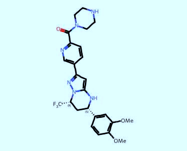 COc1ccc([C@@H]2C[C@H](C(F)(F)F)n3nc(-c4ccc(C(=O)N5CCNCC5)nc4)cc3N2)cc1OC